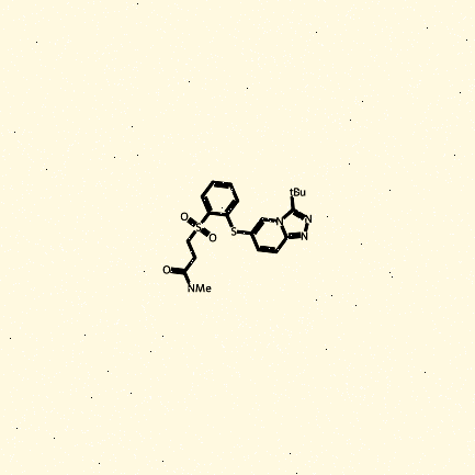 CNC(=O)CCS(=O)(=O)c1ccccc1Sc1ccc2nnc(C(C)(C)C)n2c1